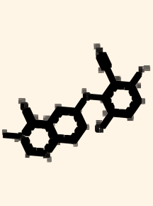 Cn1cnc2ccc(Oc3c(Cl)ccc(F)c3C#N)cc2c1=O